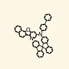 c1ccc(-c2ccc(N(c3ccc4c(c3)C3(c5ccccc5-c5ccccc53)c3ccccc3-4)c3cnc4c(c3)oc3c5ccccc5ccc43)cc2)cc1